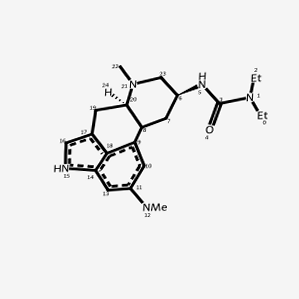 CCN(CC)C(=O)N[C@H]1CC2c3cc(NC)cc4[nH]cc(c34)C[C@H]2N(C)C1